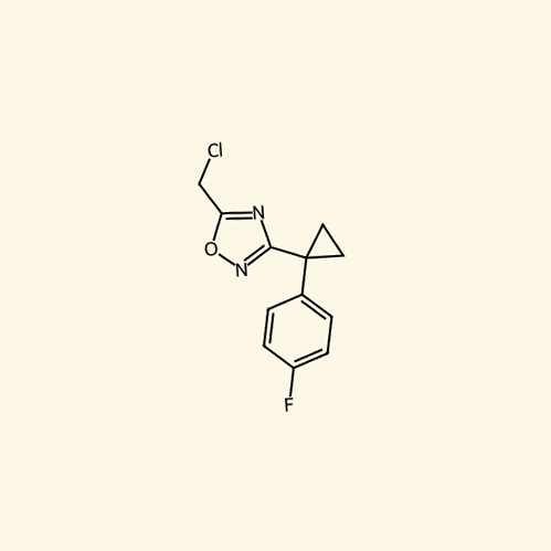 Fc1ccc(C2(c3noc(CCl)n3)CC2)cc1